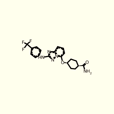 NC(=O)[C@H]1CC[C@@H](Oc2cccc3nc(Nc4ccc(C(F)(F)F)cc4)nn23)CC1